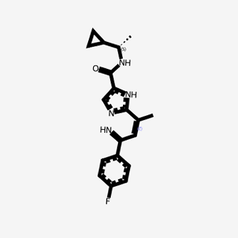 C/C(=C/C(=N)c1ccc(F)cc1)c1ncc(C(=O)N[C@@H](C)C2CC2)[nH]1